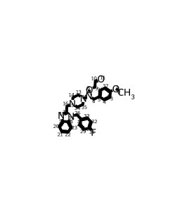 COc1ccc(CN(OCC=O)N2CCN(Cc3nc4ccccc4n3Cc3ccc(F)cc3)CC2)cc1